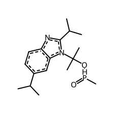 CC(C)c1ccc2nc(C(C)C)n(C(C)(C)O[PH](C)=O)c2c1